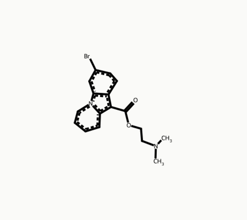 CN(C)CCOC(=O)c1c2ccc(Br)cc2n2ccccc12